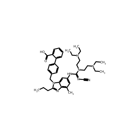 CCCc1nc2c(C)cc(NC(=NC#N)N(CCN(CC)CC)CCN(CC)CC)cc2n1Cc1ccc(-c2ccccc2C(=O)O)cc1